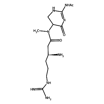 CC(=O)NC1=NC(=O)C(N(C)C(=O)C[C@@H](N)CCCNC(=N)N)CN1